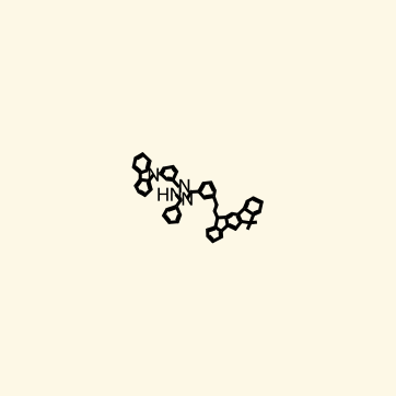 CC1(C)c2ccccc2-c2cc3c(cc21)-c1ccccc1C3CCc1cccc(C2=NC(c3cccc(-n4c5ccccc5c5ccccc54)c3)NC(c3ccccc3)=N2)c1